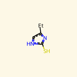 CCc1c[nH]c(S)n1